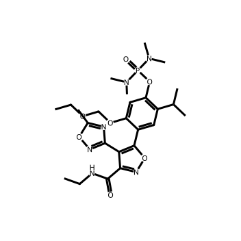 CCNC(=O)c1noc(-c2cc(C(C)C)c(OP(=O)(N(C)C)N(C)C)cc2OCOCC)c1-c1noc(C)n1